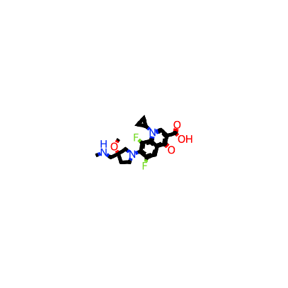 CNCC1(OC)CCN(c2c(F)cc3c(=O)c(C(=O)O)cn(C4CC4)c3c2F)C1